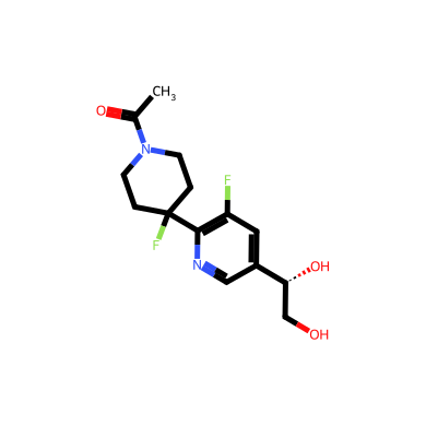 CC(=O)N1CCC(F)(c2ncc([C@H](O)CO)cc2F)CC1